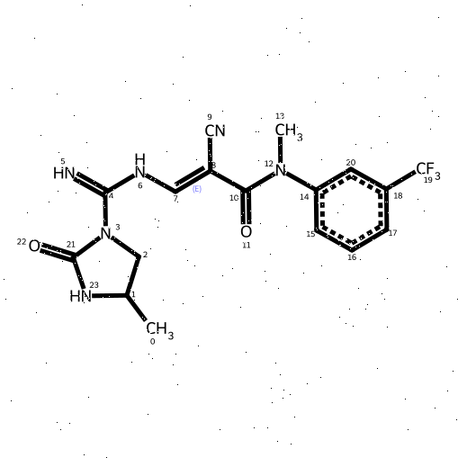 CC1CN(C(=N)N/C=C(\C#N)C(=O)N(C)c2cccc(C(F)(F)F)c2)C(=O)N1